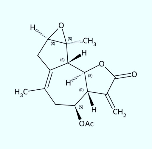 C=C1C(=O)O[C@H]2[C@H]1[C@@H](OC(C)=O)CC(C)=C1C[C@H]3O[C@@]3(C)[C@@H]12